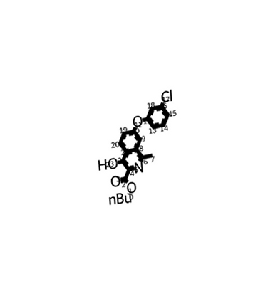 CCCCOC(=O)c1nc(C)c2cc(Oc3cccc(Cl)c3)ccc2c1O